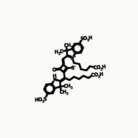 CC1(C)C(=C(CCCCCC(=O)O)C2=C([S-])C(=CC3=[N+](CCCCCC(=O)O)c4ccc(S(=O)(=O)O)cc4C3(C)C)C2=O)Nc2ccc(S(=O)(=O)O)cc21